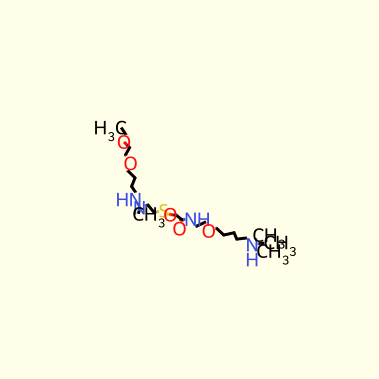 CCOCCOCCCCNN(C)CCSOCC(=O)NCCOCCCCCNC(C)(C)C